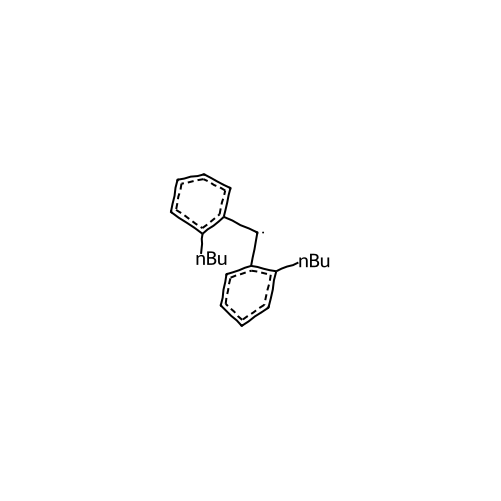 CCCCc1ccccc1[CH]c1ccccc1CCCC